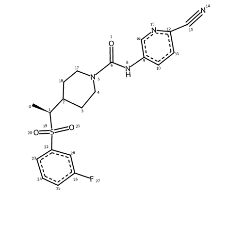 C[C@@H](C1CCN(C(=O)Nc2ccc(C#N)nc2)CC1)S(=O)(=O)c1cccc(F)c1